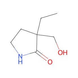 CCC1(CO)CCNC1=O